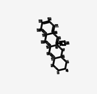 C1=C2CCCCC2Cc2cc3ccccc3cc21.Cl